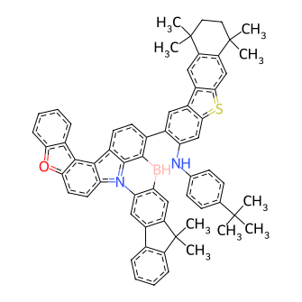 CC(C)(C)c1ccc(Nc2cc3sc4cc5c(cc4c3cc2-c2ccc3c4c6c(ccc4n4c3c2Bc2cc3c(cc2-4)-c2ccccc2C3(C)C)oc2ccccc26)C(C)(C)CCC5(C)C)cc1